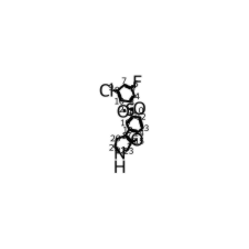 O=S(=O)(c1cc(F)cc(Cl)c1)c1ccc2oc3c(c2c1)CCNC3